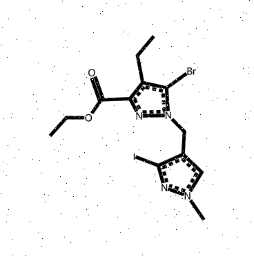 CCOC(=O)c1nn(Cc2cn(C)nc2I)c(Br)c1CC